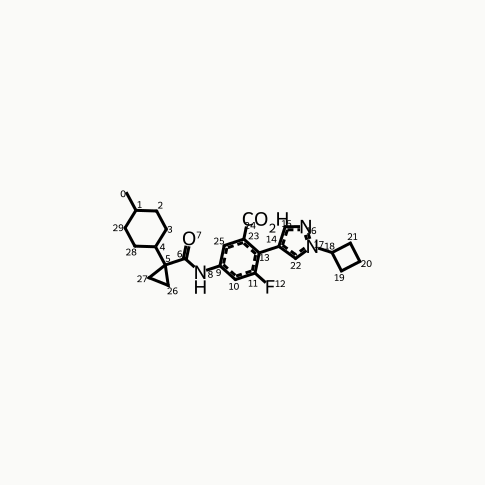 CC1CCC(C2(C(=O)Nc3cc(F)c(-c4cnn(C5CCC5)c4)c(C(=O)O)c3)CC2)CC1